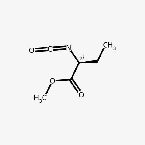 CC[C@H](N=C=O)C(=O)OC